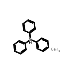 [BaH2].c1ccc([SiH](c2ccccc2)c2ccccc2)cc1